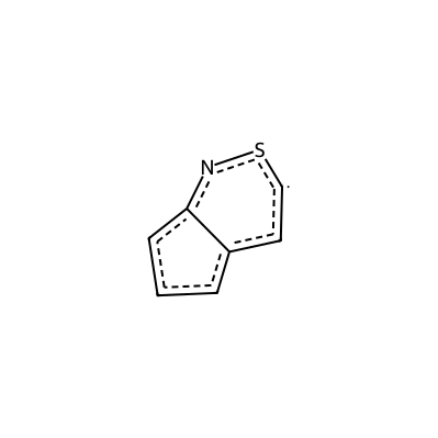 [c]1cc2cccc-2ns1